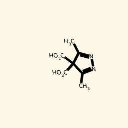 CC1=NN=C(C)C1(C(=O)O)C(=O)O